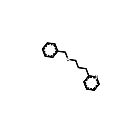 c1ccc(COCCCc2ccccn2)cc1